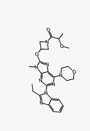 CCc1nc2ccccc2n1-c1nc(N2CCOCC2)c2nc(OC3CN(C(=O)C(C)OC)C3)n(C)c2n1